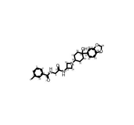 Cc1cccc(C(=O)NCC(=O)NC2CN(C3CCC(O)(c4ccc5c(c4)OCO5)CC3)C2)c1